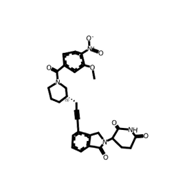 COc1cc(C(=O)N2CCC[C@@H](CC#Cc3cccc4c3CN(C3CCC(=O)NC3=O)C4=O)C2)ccc1[N+](=O)[O-]